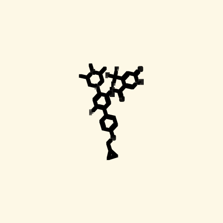 CC1CN(c2cc(F)c(-c3ccc(OCC4CC4)cc3)cc2NC(=O)c2c[nH]c(=O)cc2C(F)(F)F)CC(C)N1C